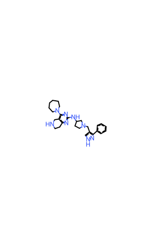 c1ccc(-c2n[nH]cc2CN2CCC(Nc3nc4c(c(N5CCCCCC5)n3)CNCC4)C2)cc1